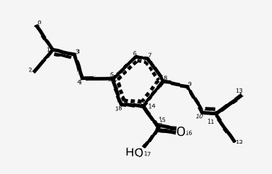 CC(C)=CCc1ccc(CC=C(C)C)c(C(=O)O)c1